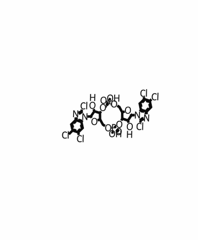 O=P1(O)OCC2OC(n3c(Cl)nc4cc(Cl)c(Cl)cc43)C(O)C2OP(=O)(O)OCC2OC(n3c(Cl)nc4cc(Cl)c(Cl)cc43)C(O)C2O1